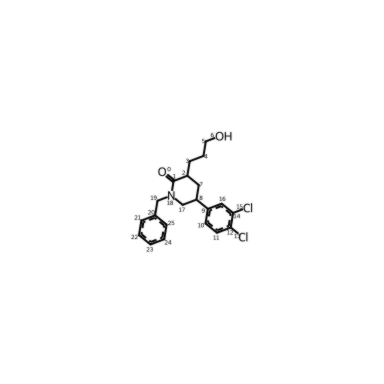 O=C1C(CCCO)CC(c2ccc(Cl)c(Cl)c2)CN1Cc1ccccc1